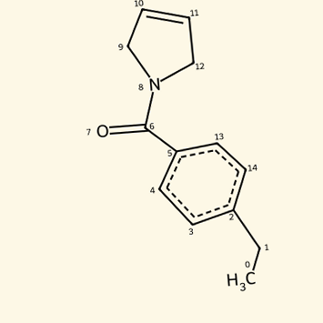 CCc1ccc(C(=O)N2CC=CC2)cc1